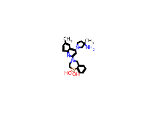 Cc1ccc2nc(N3CCS(O)(O)c4ccccc4C3)cc(N3CCC(C)(N)C3)c2c1